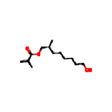 C=C(C)C(=O)OCC(C)CCCCCCO